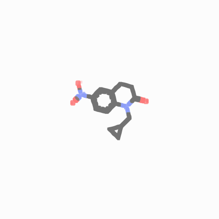 O=C1CCc2cc([N+](=O)[O-])ccc2N1CC1CC1